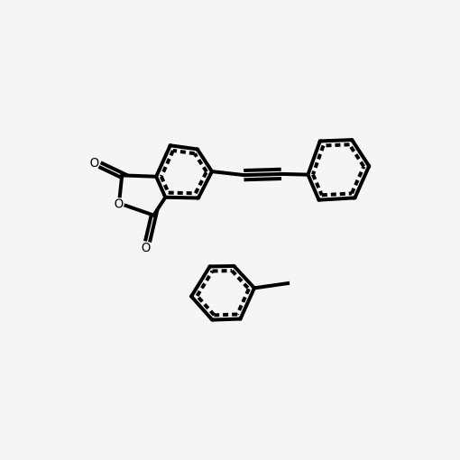 Cc1ccccc1.O=C1OC(=O)c2cc(C#Cc3ccccc3)ccc21